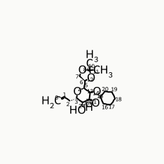 C=CC[C@@H]1O[C@@H]([C@H]2COC(C)(C)O2)C2OC3(CCCCC3)O[C@H]2[C@H]1O